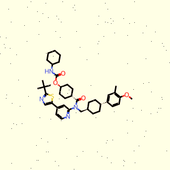 COc1ccc([C@H]2CC[C@H](CN(c3cc(-c4cnc(C(C)(C)C)s4)ccn3)C(=O)[C@H]3CC[C@H](OC(=O)NC4CCCCC4)CC3)CC2)cc1C